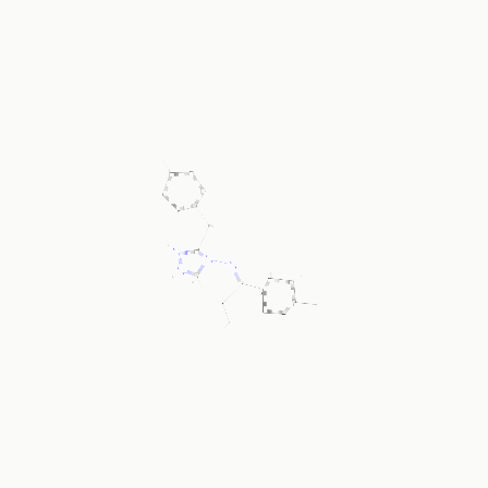 O=C(O)CC1Sc2nnc(Cc3ccc(Br)cc3)n2N=C1c1ccc(C(F)(F)F)cc1